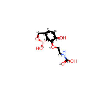 O=C(O)NCCOc1c(O)ccc2c1B(O)OC2